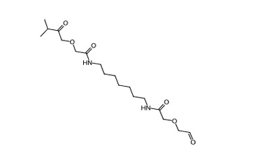 CC(C)C(=O)COCC(=O)NCCCCCCCNC(=O)COCC=O